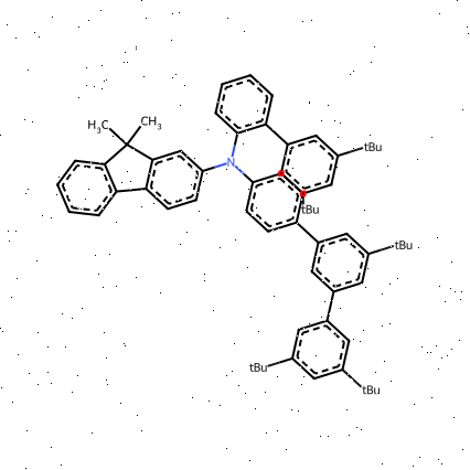 CC(C)(C)c1cc(-c2ccc(N(c3ccc4c(c3)C(C)(C)c3ccccc3-4)c3ccccc3-c3cc(C(C)(C)C)cc(C(C)(C)C)c3)cc2)cc(-c2cc(C(C)(C)C)cc(C(C)(C)C)c2)c1